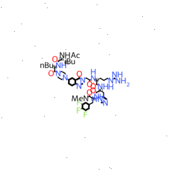 CCCC[C@H](NC(=O)[C@@H](NC(C)=O)[C@@H](C)CC)C(=O)N1CCN(c2ccc3ncn(CC(=O)N[C@@H](CCCNC(=N)N)C(=O)N[C@@H](Cc4cnc[nH]4)C(=O)N[C@@H](Cc4cc(F)c(F)c(F)c4)C(=O)NC)c(=O)c3c2)CC1